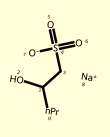 CCCC(O)CS(=O)(=O)[O-].[Na+]